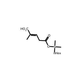 CCCCCC[Si](C)(C)OC(=O)CC=C(C)C(=O)O